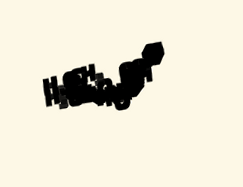 CC(C)(C)OC(=O)N1CC(CC(=O)NNC(=O)[C@@H]2CC[C@@H]3CN2C(=O)N3OCc2ccccc2)C1